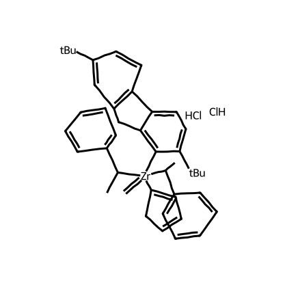 Cl.Cl.[CH2]=[Zr]([C]1=CC=CC1)([c]1c(C(C)(C)C)ccc2c1Cc1cc(C(C)(C)C)ccc1-2)([CH](C)c1ccccc1)[CH](C)c1ccccc1